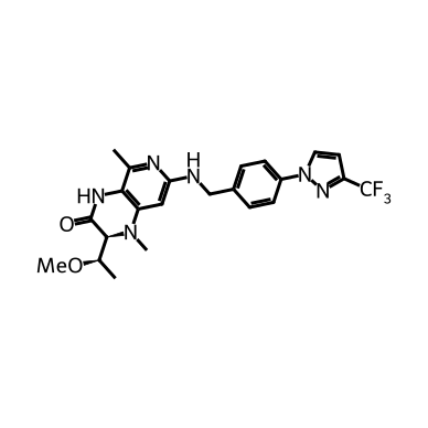 CO[C@H](C)[C@H]1C(=O)Nc2c(cc(NCc3ccc(-n4ccc(C(F)(F)F)n4)cc3)nc2C)N1C